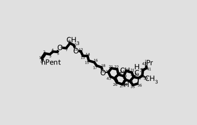 CCCCC/C=C\CCCOC[C@@H](C)COCCCCCCCO[C@H]1CC[C@@]2(C)C(=CC[C@@H]3C2CC[C@@]2(C)C3CC[C@@H]2[C@H](C)CCC(C)C)C1